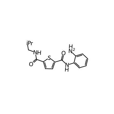 CC(C)CNC(=O)c1ccc(C(=O)Nc2ccccc2N)s1